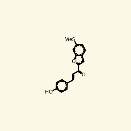 CSc1ccc2cc(C(=O)/C=C/c3ccc(O)cc3)oc2c1